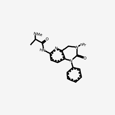 CCCN1Cc2nc(NC(=O)C(C)NC)ccc2N(c2ccccc2)C1=O